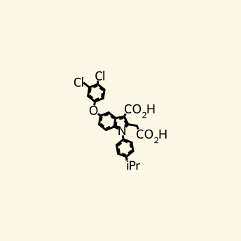 CC(C)c1ccc(-n2c(CC(=O)O)c(C(=O)O)c3cc(Oc4ccc(Cl)c(Cl)c4)ccc32)cc1